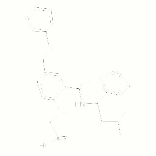 CC(C)CC(NC(=O)c1cc(COc2ccccc2)ccc1OCC(=O)O)c1ccccc1